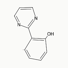 Oc1ccc[c]c1-c1ncccn1